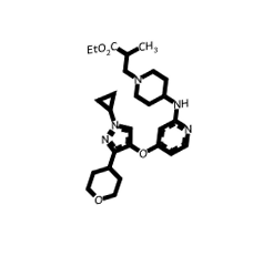 CCOC(=O)C(C)CN1CCC(Nc2cc(Oc3cn(C4CC4)nc3C3CCOCC3)ccn2)CC1